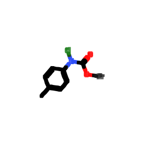 Cc1ccc(N(Cl)C(=O)OC(C)C)cc1